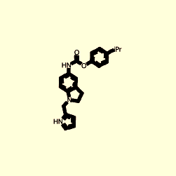 CC(C)c1ccc(OC(=O)Nc2ccc3c(c2)CCN3Cc2ccc[nH]2)cc1